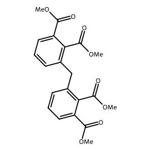 COC(=O)c1cccc(Cc2cccc(C(=O)OC)c2C(=O)OC)c1C(=O)OC